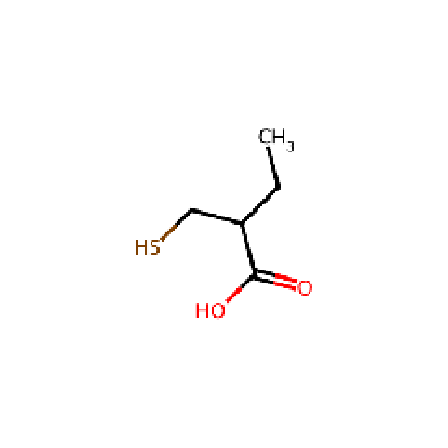 CCC(CS)C(=O)O